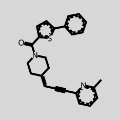 Cc1cccc(C#CC=C2CCN(C(=O)c3ccc(-c4ccccc4)s3)CC2)n1